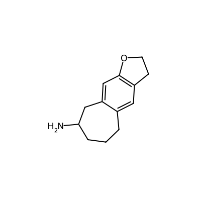 NC1CCCc2cc3c(cc2C1)OCC3